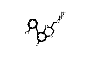 [N-]=[N+]=NCC1CSc2cc(F)cc(-c3ccccc3Cl)c2O1